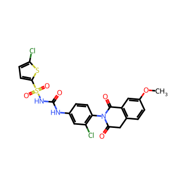 COc1ccc2c(c1)C(=O)N(c1ccc(NC(=O)NS(=O)(=O)c3ccc(Cl)s3)cc1Cl)C(=O)C2